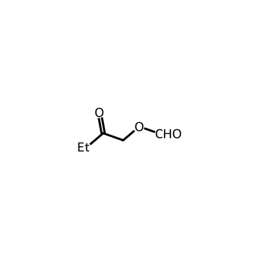 CCC(=O)COC=O